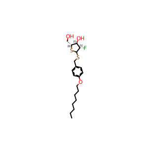 CCCCCCCCOc1ccc(CSC2S[C@H](CO)[C@@H](O)[C@@H]2F)cc1